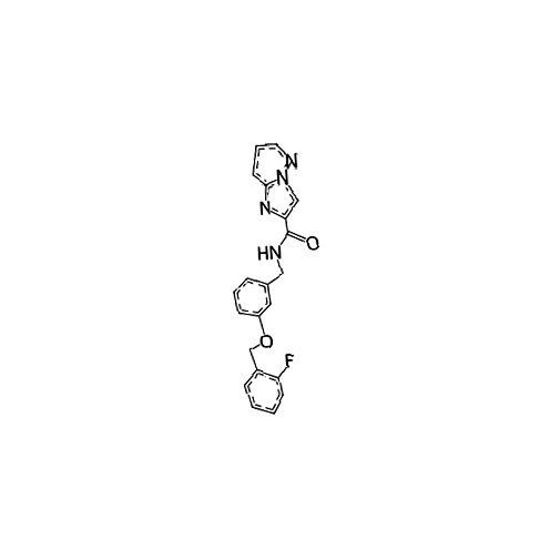 O=C(NCc1cccc(OCc2ccccc2F)c1)c1cn2ncccc2n1